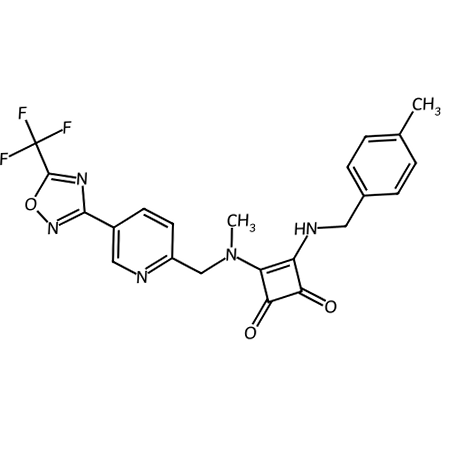 Cc1ccc(CNc2c(N(C)Cc3ccc(-c4noc(C(F)(F)F)n4)cn3)c(=O)c2=O)cc1